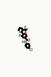 O=C(Nc1ccc(Cl)cc1)c1ccc(-c2ncccc2C(F)(F)F)c(F)c1